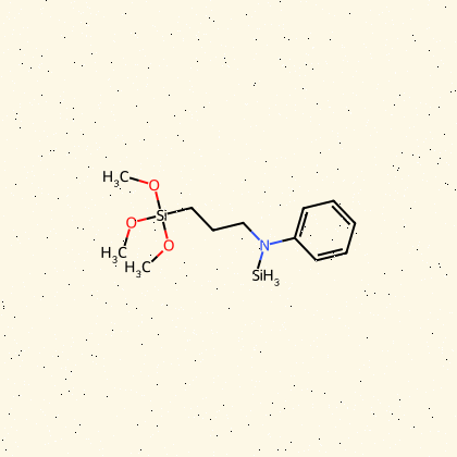 CO[Si](CCCN([SiH3])c1ccccc1)(OC)OC